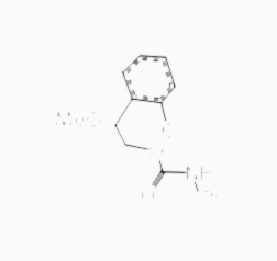 CO[C@H](c1ccccc1Cl)[C@@H](C)OC(=O)NC(C)C